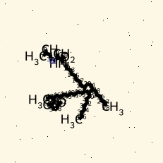 C=C(/C=C\CC(C)C)C(=O)NCCCCCCCCC1CCC(CCCCCC)C(CCCCCCCC)C1CCCCCCCCC(CC)N1C(=O)C=CC1=O